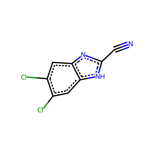 N#Cc1nc2cc(Cl)c(Cl)cc2[nH]1